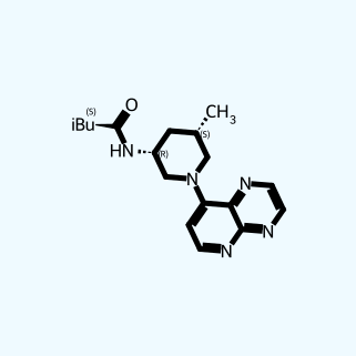 CC[C@H](C)C(=O)N[C@@H]1C[C@H](C)CN(c2ccnc3nccnc23)C1